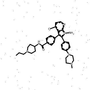 CCCN1CCC(NC(=O)c2ccc(-c3c(-c4ccc(N5CCN(C)CC5)cc4)n(N)c4nccc(Cl)c34)cc2)CC1